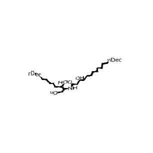 CCCCCCCCCCCCCCCCCCCC(O)CC(=O)NC(CO)C(O)CCCCCCCCCCCCCCC